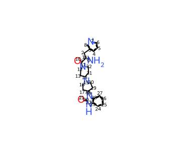 N[C@@H](Cc1cccnc1)C(=O)N1CCC(N2CCC(n3c(=O)[nH]c4ccccc43)CC2)CC1